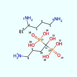 CCC(N)CCCN.NCCCC(O)(P(=O)(O)O)P(=O)(O)O